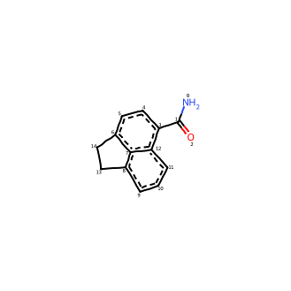 NC(=O)c1ccc2c3c(cccc13)CC2